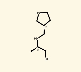 C[C@H](CO)NC[C@@H]1CCNC1